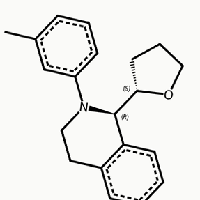 Cc1cccc(N2CCc3ccccc3[C@@H]2[C@@H]2CCCO2)c1